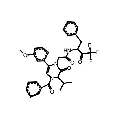 COc1cccc(C2=CN(C(=O)c3ccccc3)C(C(C)C)C(=O)N2CC(=O)NC(Cc2ccccc2)C(=O)C(F)(F)F)c1